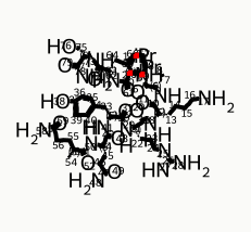 CC(C)C[C@H](NC(=O)[C@H](CC(C)C)NC(=O)[C@H](CCCCN)NC(=O)[C@H](CCCNC(=N)N)NC(=O)[C@H](Cc1ccc(O)cc1)NC(=O)[C@H](CCC(N)=O)NC(=O)[C@@H](C)CCC(N)=O)C(=O)N[C@@H](Cc1ccccc1)C(=O)N[C@@H](CO)C(N)=O